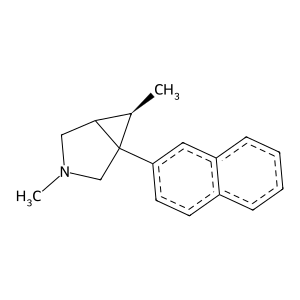 C[C@@H]1C2CN(C)CC21c1ccc2ccccc2c1